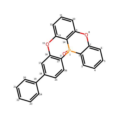 O=P12c3ccccc3Oc3cccc(c31)Oc1cc(-c3ccccc3)ccc12